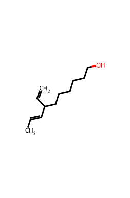 C=CC(/C=C/C)CCCCCCO